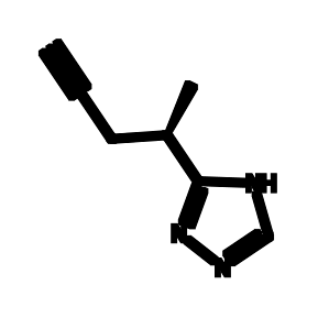 C#CC[C@@H](C)c1nnc[nH]1